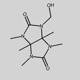 CN1C(=O)N(C)C2(C)N(CO)C(=O)N(C)C12C